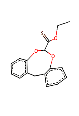 CCOC(=S)C1Oc2ccccc2Cc2ccccc2O1